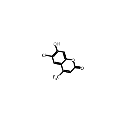 O=c1cc(C(F)(F)F)c2cc(Cl)c(O)cc2o1